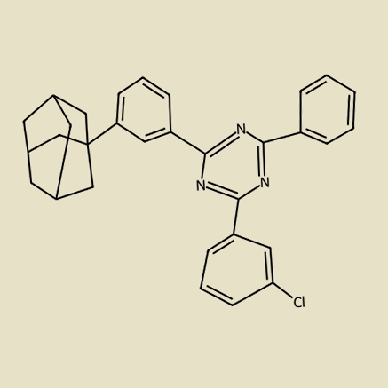 Clc1cccc(-c2nc(-c3ccccc3)nc(-c3cccc(C45CC6CC(CC(C6)C4)C5)c3)n2)c1